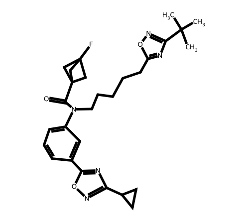 CC(C)(C)c1noc(CCCCCN(C(=O)C23CC(F)(C2)C3)c2cccc(-c3nc(C4CC4)no3)c2)n1